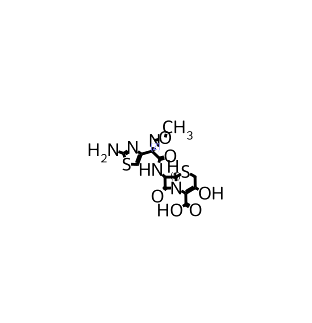 CO/N=C(\C(=O)NC1C(=O)N2C(C(=O)O)=C(O)CS[C@@H]12)c1csc(N)n1